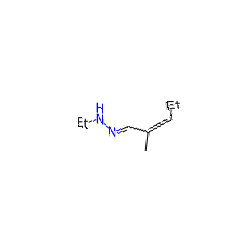 CCC=C(C)C=NNCC